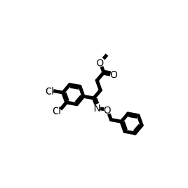 COC(=O)CC/C(=N\OCc1ccccc1)c1ccc(Cl)c(Cl)c1